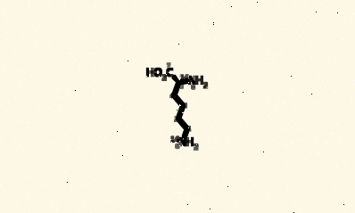 [14NH2]CCCC[C@H]([14NH2])C(=O)O